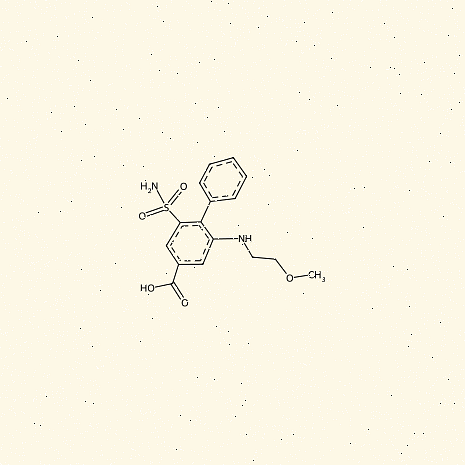 COCCNc1cc(C(=O)O)cc(S(N)(=O)=O)c1-c1ccccc1